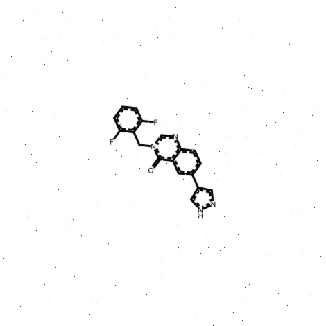 O=c1c2cc(-c3cn[nH]c3)ccc2ncn1Cc1c(F)cccc1F